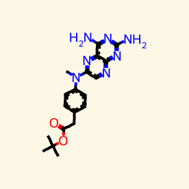 CN(c1ccc(CC(=O)OC(C)(C)C)cc1)c1cnc2nc(N)nc(N)c2n1